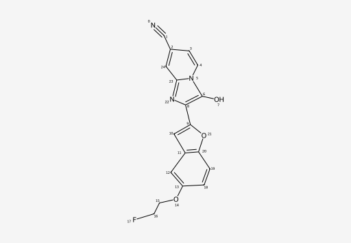 N#Cc1ccn2c(O)c(-c3cc4cc(OCCF)ccc4o3)nc2c1